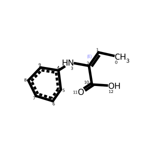 C/C=C(/Nc1ccccc1)C(=O)O